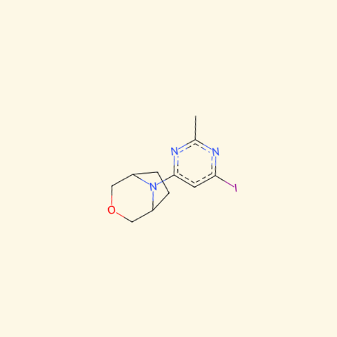 Cc1nc(I)cc(N2C3CCC2COC3)n1